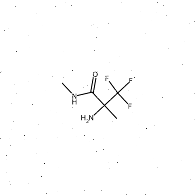 CNC(=O)C(C)(N)C(F)(F)F